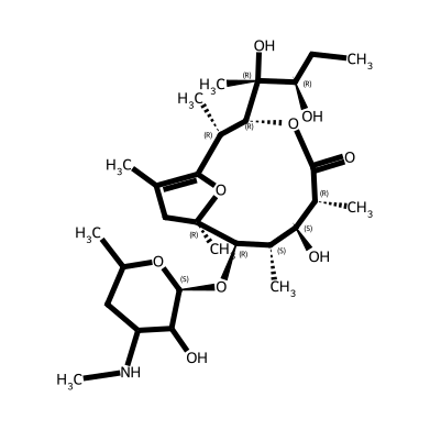 CC[C@@H](O)[C@@](C)(O)[C@@H]1OC(=O)[C@H](C)[C@@H](O)[C@H](C)[C@@H](O[C@@H]2OC(C)CC(NC)C2O)[C@@]2(C)CC(C)=C(O2)[C@@H]1C